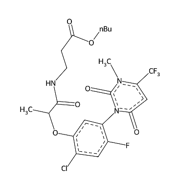 CCCCOC(=O)CCNC(=O)C(C)Oc1cc(-n2c(=O)cc(C(F)(F)F)n(C)c2=O)c(F)cc1Cl